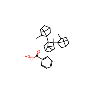 CC1CCC2CC1(C1(C)CCC3CC1(C14CC(CCC1C)C4(C)C)C3(C)C)C2(C)C.O=C(OO)c1ccccc1